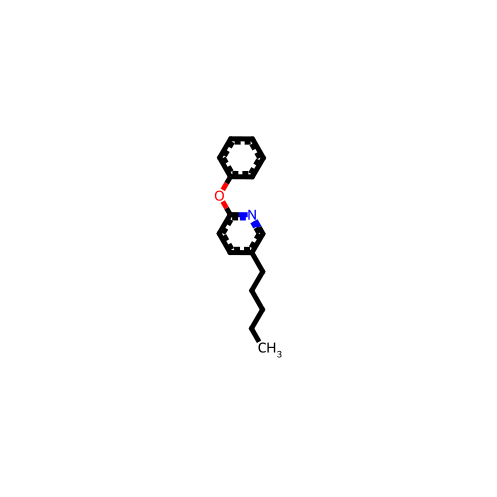 CCCCCc1ccc(Oc2ccccc2)nc1